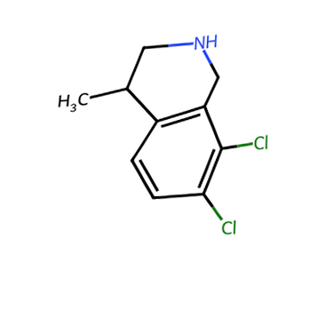 CC1CNCc2c1ccc(Cl)c2Cl